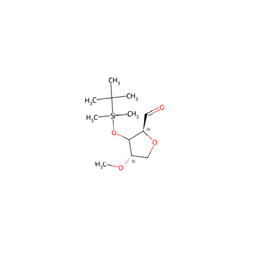 CO[C@H]1CO[C@H](C=O)C1O[Si](C)(C)C(C)(C)C